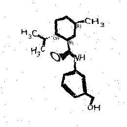 CC(C)[C@@H]1CC[C@@H](C)C[C@H]1C(=O)Nc1cccc(CO)c1